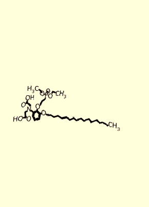 CCCCCCCCCCCCCCCCCCOc1cccc(N(CC(=O)O)CC(=O)O)c1OCCCP(=O)(OCC)OCC